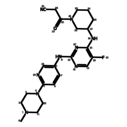 CN1CCN(c2ccc(Nc3ncc(F)c(NC4CCCN(C(=O)CC#N)C4)n3)cn2)CC1